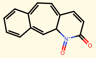 O=C1C=CC2=CC=c3ccccc3=CC2[N+]1=O